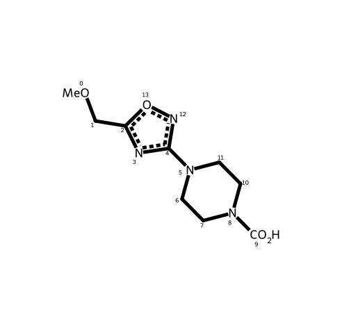 COCc1nc(N2CCN(C(=O)O)CC2)no1